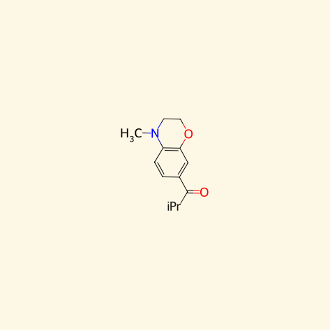 CC(C)C(=O)c1ccc2c(c1)OCCN2C